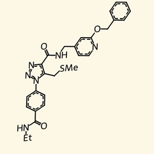 CCNC(=O)c1ccc(-n2nnc(C(=O)NCc3ccnc(OCc4ccccc4)c3)c2CSC)cc1